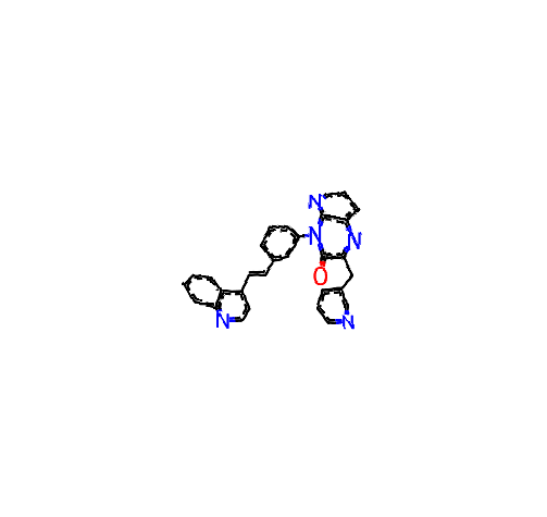 O=c1c(Cc2cccnc2)nc2cccnc2n1-c1cccc(C=Cc2ccnc3ccccc23)c1